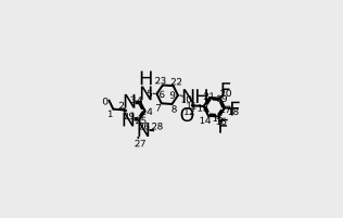 CCc1nc(N[C@H]2CC[C@@H](NC(=O)c3cc(F)c(F)c(F)c3)CC2)cc(N(C)C)n1